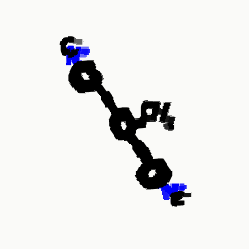 [C-]#[N+]c1ccc(C#Cc2ccc(C#Cc3ccc([N+]#[C-])cc3)c(CC)c2)cc1